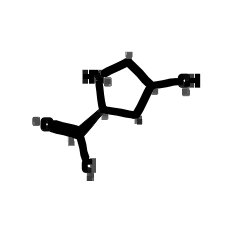 O=C(Cl)[C@@H]1CC(O)CN1